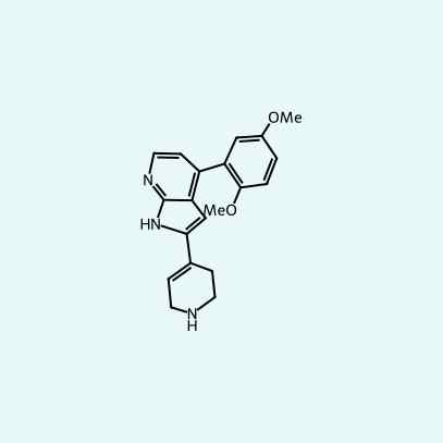 COc1ccc(OC)c(-c2ccnc3[nH]c(C4=CCNCC4)cc23)c1